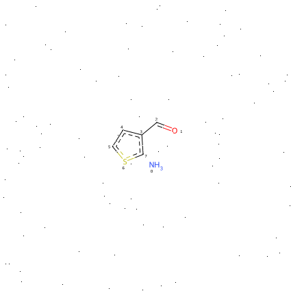 N.O=Cc1ccsc1